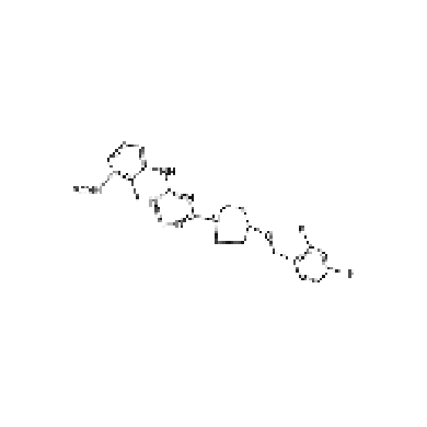 CC(=O)Nc1cccc(Nc2ncnc(N3CCC(OCc4ccc(F)cc4F)CC3)n2)c1C